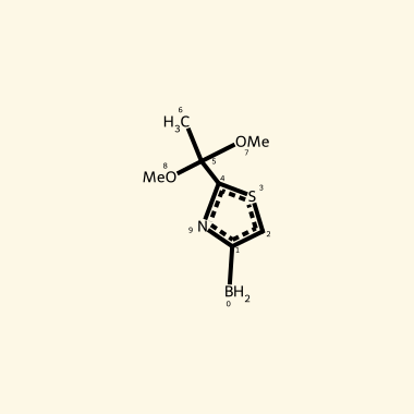 Bc1csc(C(C)(OC)OC)n1